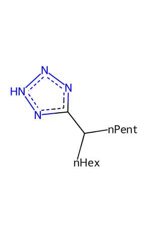 CCCCCCC(CCCCC)c1nn[nH]n1